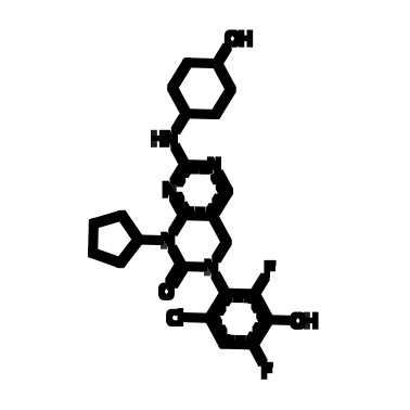 O=C1N(c2c(Cl)cc(F)c(O)c2F)Cc2cnc(NC3CCC(O)CC3)nc2N1C1CCCC1